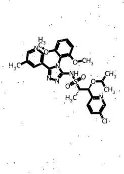 COc1cccc(OC)c1-n1c(NS(=O)(=O)[C@@H](C)[C@@H](OC(C)C)c2ccc(Cl)cn2)nnc1-c1cncc(C)c1